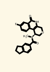 CN(C(=O)c1ccc2c(c1)CCC2)[C@@H]1COCc2[nH]c(=O)c3cc(F)ccc3c21